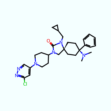 CN(C)[C@]1(c2ccccc2)CC[C@@]2(CC1)CN(C1CCN(c3cnnc(Cl)c3)CC1)C(=O)N2CC1CC1